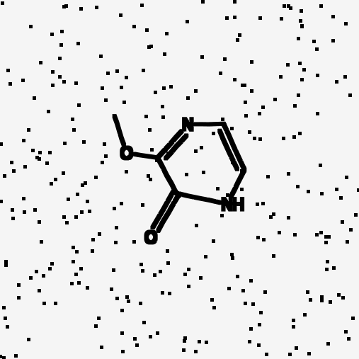 COc1ncc[nH]c1=O